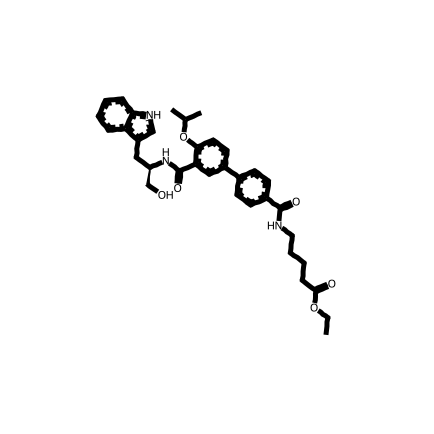 CCOC(=O)CCCCNC(=O)c1ccc(-c2ccc(OC(C)C)c(C(=O)N[C@@H](CO)Cc3c[nH]c4ccccc34)c2)cc1